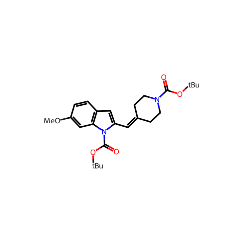 COc1ccc2cc(C=C3CCN(C(=O)OC(C)(C)C)CC3)n(C(=O)OC(C)(C)C)c2c1